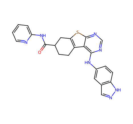 O=C(Nc1ccccn1)C1CCc2c(sc3ncnc(Nc4ccc5[nH]ncc5c4)c23)C1